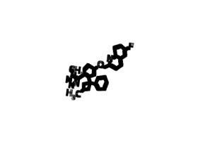 CC1CC(c2ccccc2)(c2cc(OCc3ccc4cc(F)ccc4n3)ccc2-c2nnnn2C)C1